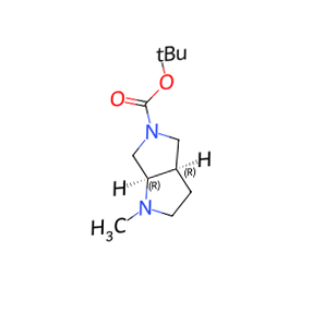 CN1CC[C@@H]2CN(C(=O)OC(C)(C)C)C[C@@H]21